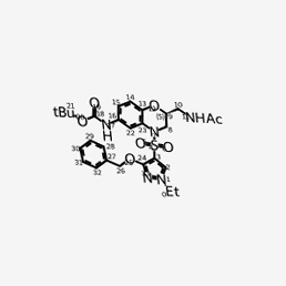 CCn1cc(S(=O)(=O)N2C[C@H](CNC(C)=O)Oc3ccc(NC(=O)OC(C)(C)C)cc32)c(OCc2ccccc2)n1